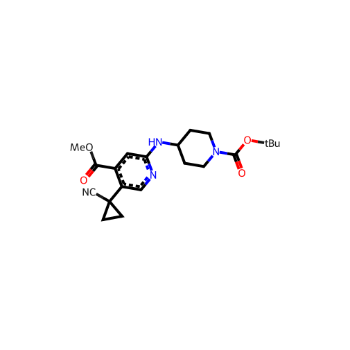 COC(=O)c1cc(NC2CCN(C(=O)OC(C)(C)C)CC2)ncc1C1(C#N)CC1